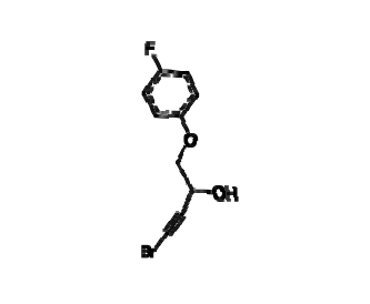 OC(C#CBr)COc1ccc(F)cc1